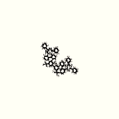 CC(C)(C)c1cc(-c2ccccc2-c2ccccc2-c2nc(-c3ccccc3)nc(-c3ccccc3)n2)c2sc3c(-c4ccccc4-c4ccccc4-c4nc(-c5ccccc5)nc(-c5ccccc5)n4)cc(C(C)(C)C)cc3c2c1